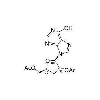 CC(=O)OC[C@@H]1C[C@@H](OC(C)=O)[C@H](n2cnc3c(O)ncnc32)O1